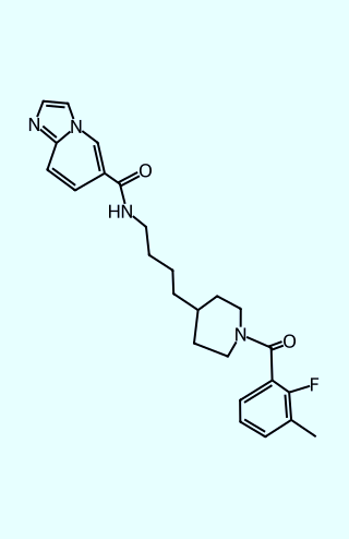 Cc1cccc(C(=O)N2CCC(CCCCNC(=O)c3ccc4nccn4c3)CC2)c1F